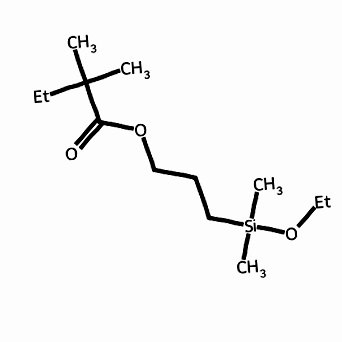 CCO[Si](C)(C)CCCOC(=O)C(C)(C)CC